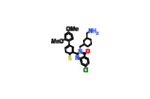 COc1ccc(C2=CCC(=S)C(c3nc4cc(Cl)ccc4c(=O)n3CC3CCCC(CN)C3)=C2)c(OC)c1